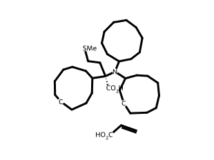 C=CC(=O)O.CSCC[C@](C(=O)O)(C1CCCCCCCCC1)N(C1CCCCCCCCC1)C1CCCCCCCCC1